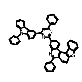 c1ccc(-c2cc(-c3ccc4c(c3)c3ccccc3n4-c3ccccc3)nc(-c3ccc4c(c3)nc(-c3ccccc3)c3ccc5sc6ccccc6c5c34)n2)cc1